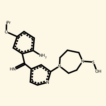 CC(C)Oc1ccc(N)c(C(=N)c2ccnc(N3CCCN(SO)CC3)c2)c1